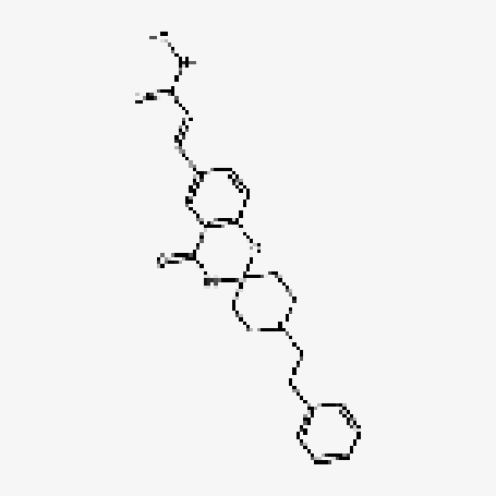 O=C(C=Cc1ccc2c(c1)C(=O)NC1(CCN(CCc3ccccc3)CC1)O2)NO